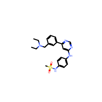 CCN(CC)Cc1cccc(-c2cc(Nc3ccc(NS(C)(=O)=O)cc3)ncn2)c1